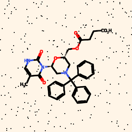 Cc1c[nH]c(=O)n([C@H]2CN(C(c3ccccc3)(c3ccccc3)c3ccccc3)C[C@@H](COC(=O)CCC(=O)O)O2)c1=O